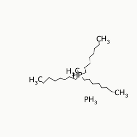 CCCCCCCC[PH](C)(CCCCCCCC)CCCCCCCC.P